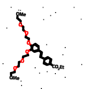 CCOC(=O)c1ccc(/C=C/c2ccc(OCCOCCOCCOC)c(OCCOCCOCCOC)c2)cc1